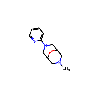 CN1CC2CN(c3ccccn3)CC(C1)O2